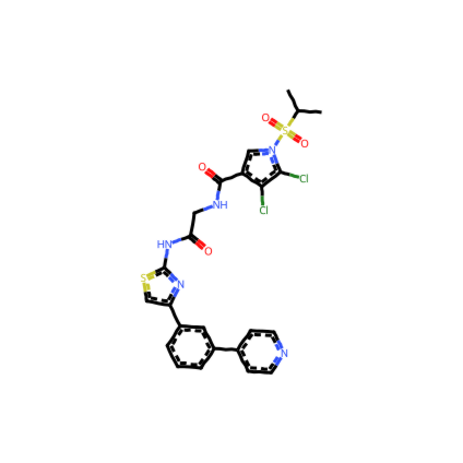 CC(C)S(=O)(=O)n1cc(C(=O)NCC(=O)Nc2nc(-c3cccc(-c4ccncc4)c3)cs2)c(Cl)c1Cl